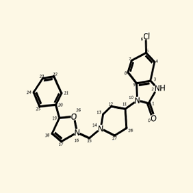 O=c1[nH]c2cc(Cl)ccc2n1C1CCN(CN2C=CC(c3ccccc3)O2)CC1